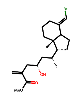 C=C(C[C@@H](O)C[C@@H](C)[C@H]1CCC2C(=CBr)CCC[C@]21C)C(=O)OC